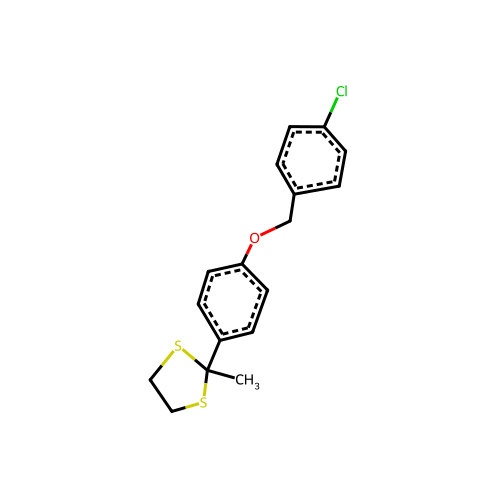 CC1(c2ccc(OCc3ccc(Cl)cc3)cc2)SCCS1